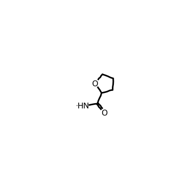 [NH]C(=O)C1CCCO1